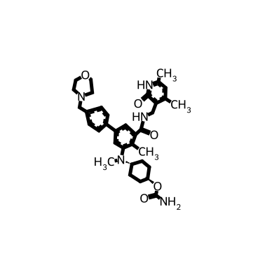 Cc1cc(C)c(CNC(=O)c2cc(-c3ccc(CN4CCOCC4)cc3)cc(N(C)[C@H]3CC[C@H](OC(N)=O)CC3)c2C)c(=O)[nH]1